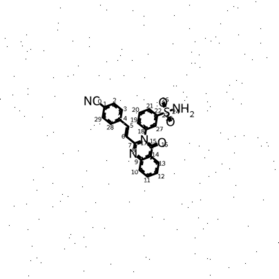 N#Cc1ccc(/C=C/c2nc3ccccc3c(=O)n2-c2cccc(S(N)(=O)=O)c2)cc1